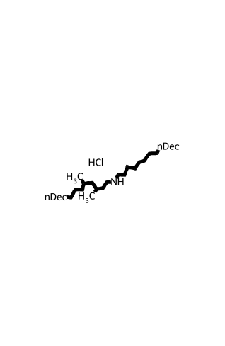 CCCCCCCCCCCCCCCCCCNCCC(C)CC(C)CCCCCCCCCCCCC.Cl